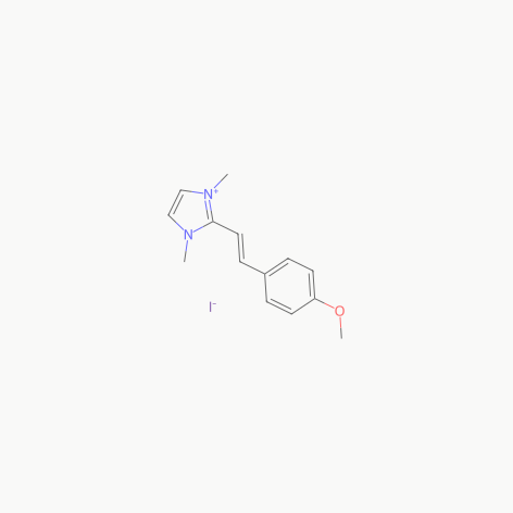 COc1ccc(C=Cc2n(C)cc[n+]2C)cc1.[I-]